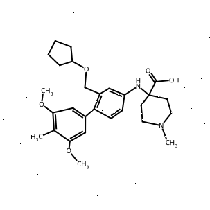 COc1cc(-c2ccc(NC3(C(=O)O)CCN(C)CC3)cc2COC2CCCC2)cc(OC)c1C